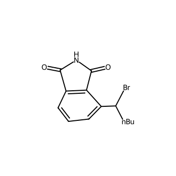 CCCCC(Br)c1cccc2c1C(=O)NC2=O